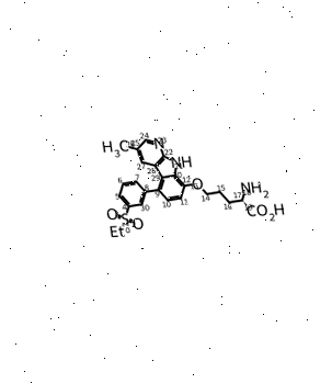 CCS(=O)(=O)c1cccc(-c2ccc(OCCC[C@H](N)C(=O)O)c3[nH]c4ncc(C)cc4c23)c1